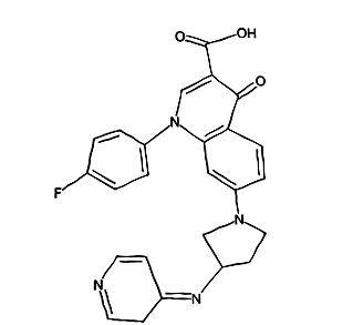 O=C(O)c1cn(-c2ccc(F)cc2)c2cc(N3CCC(N=C4C=CN=CC4)C3)ccc2c1=O